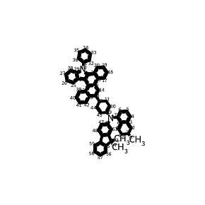 CC1C=c2cccc(N(C3=CCC(c4cc5c6ccccc6c6c(c7ccccc7n6-c6ccccc6)c5c5ccccc45)C=C3)c3ccc4c(c3)C(C)(C)c3ccccc3-4)c2=CC1